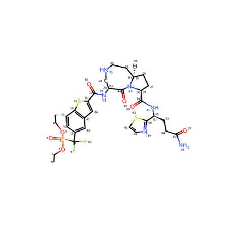 CCOP(=O)(OCC)C(F)(F)c1ccc2sc(C(=O)N[C@H]3CNCC[C@H]4CC[C@@H](C(=O)N[C@@H](CCC(N)=O)c5nccs5)N4C3=O)cc2c1